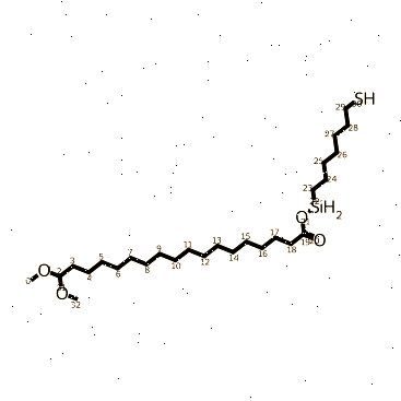 COC(CCCCCCCCCCCCCCCCC(=O)O[SiH2]CCCCCCCS)OC